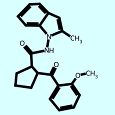 COc1ccccc1C(=O)C1CCCC1C(=O)Nn1c(C)cc2ccccc21